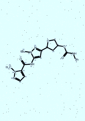 CC(C)NC(=O)OC1COC(c2cc(NC(=O)c3ccnn3C)n(C(C)(C)C)n2)C1